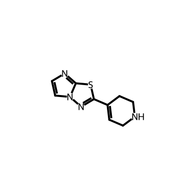 C1=C(c2nn3ccnc3s2)CCNC1